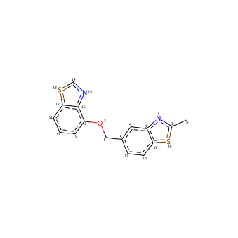 Cc1nc2cc(COc3cccc4s[c]nc34)ccc2s1